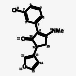 CNC1=C(c2cccc(Cl)c2)C(=O)C(c2ccoc2)C1